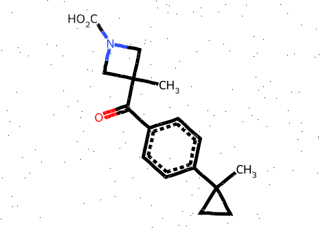 CC1(C(=O)c2ccc(C3(C)CC3)cc2)CN(C(=O)O)C1